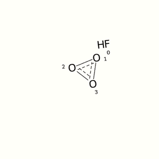 F.o1oo1